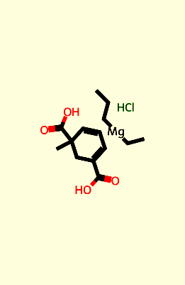 CC1(C(=O)O)C=CC=C(C(=O)O)C1.CC[CH2][Mg][CH2]C.Cl